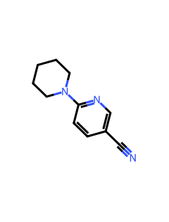 N#Cc1ccc(N2CCCCC2)nc1